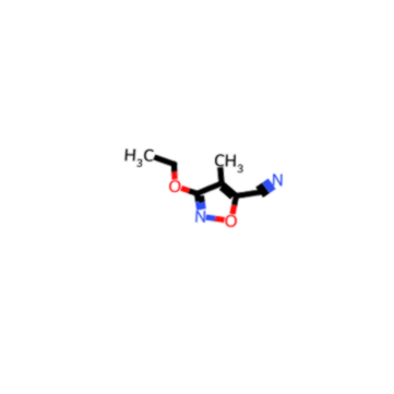 CCOc1noc(C#N)c1C